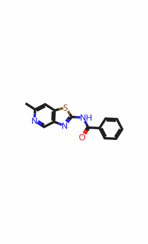 Cc1cc2sc(NC(=O)c3ccccc3)nc2cn1